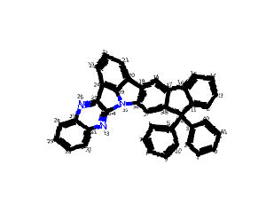 c1ccc(C2(c3ccccc3)c3ccccc3-c3cc4c5cccc6c7nc8ccccc8nc7n(c4cc32)c56)cc1